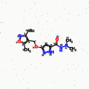 CCCCc1noc(C)c1COc1cc(C(=O)NN(C)C)[nH]n1